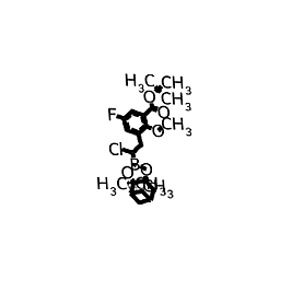 COc1c(CC(Cl)B2OC3CC4CC(C4(C)C)[C@]3(C)O2)cc(F)cc1C(=O)OC(C)(C)C